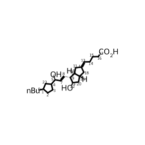 CCCCC1CCC([C@@H](O)/C=C/[C@@H]2[C@H]3C/C(=C/CCCC(=O)O)C[C@@H]3C[C@H]2O)C1